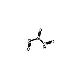 O=[SiH][Si](=O)[SiH]=O